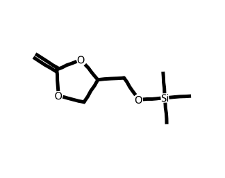 C=C1OCC(CO[Si](C)(C)C)O1